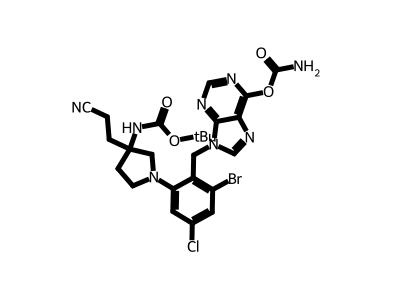 CC(C)(C)OC(=O)NC1(CCC#N)CCN(c2cc(Cl)cc(Br)c2Cn2cnc3c(OC(N)=O)ncnc32)C1